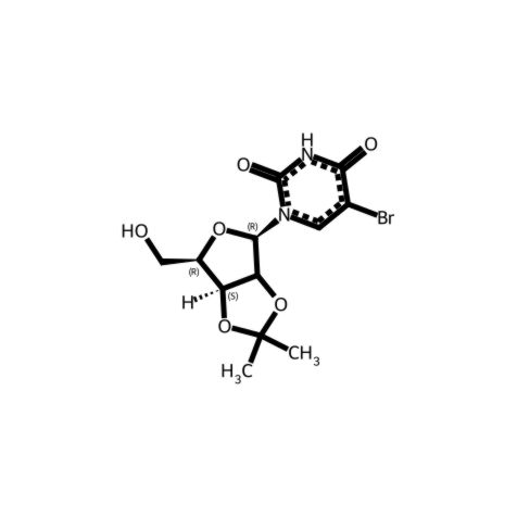 CC1(C)OC2[C@@H](O1)[C@@H](CO)O[C@H]2n1cc(Br)c(=O)[nH]c1=O